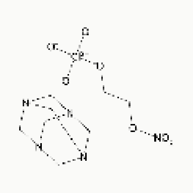 C1N2CN3CN1CN(C2)C3.O=[N+]([O-])OCCO[Cl+3]([O-])([O-])[O-]